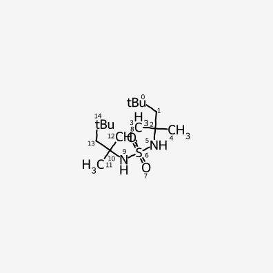 CC(C)(C)CC(C)(C)NS(=O)(=O)NC(C)(C)CC(C)(C)C